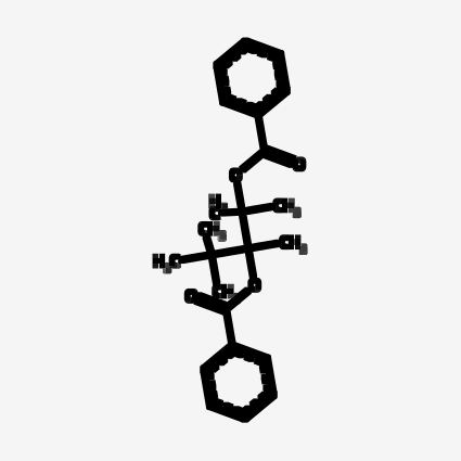 CC(C)(C)C(C)(OC(=O)c1ccccc1)C(C)(C)OC(=O)c1ccccc1